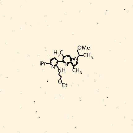 CCOCCNc1nc(C(C)C)ccc1-c1nc2c(C)cn(C(C)COC)c2cc1C